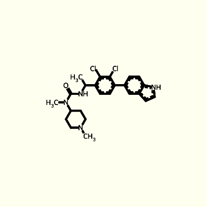 CC(NC(=O)N(C)C1CCN(C)CC1)c1ccc(-c2ccc3[nH]ccc3c2)c(Cl)c1Cl